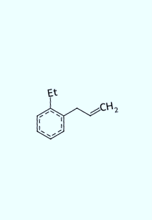 C=CCc1ccccc1CC